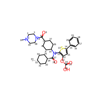 CN1CCN(C(=O)C2CCC(N(c3sc(-c4ccccc4)cc3OC(=O)O)C(=O)[C@H]3CC[C@H](C)CC3)CC2)CC1